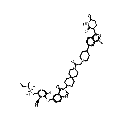 CCN(C)S(=O)(=O)Nc1ccc(F)c(Oc2ccc3ncn(C4CCC5(CC4)CCN(C(=O)CN4CCC(c6ccc7c(C8CCC(=O)NC8=O)nn(C)c7c6)CC4)CC5)c(=O)c3c2)c1C#N